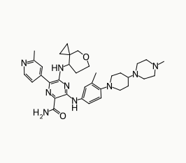 Cc1cc(-c2nc(C(N)=O)c(Nc3ccc(N4CCC(N5CCN(C)CC5)CC4)c(C)c3)nc2NC2CCOCC23CC3)ccn1